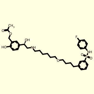 CC(=O)OCc1cc([C@@H](O)CNCCCCCCOCCCCc2cccc(S(=O)(=O)Nc3ccc(F)cc3)c2)ccc1O